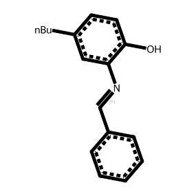 CCCCc1ccc(O)c(/N=C/c2ccccc2)c1